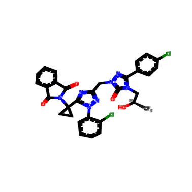 O=C1c2ccccc2C(=O)N1C1(c2nc(Cn3nc(-c4ccc(Cl)cc4)n(C[C@H](O)C(F)(F)F)c3=O)nn2-c2ccccc2Cl)CC1